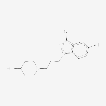 Nc1nn(CCCN2CCC(O)CC2)c2ccc(Cl)cc12